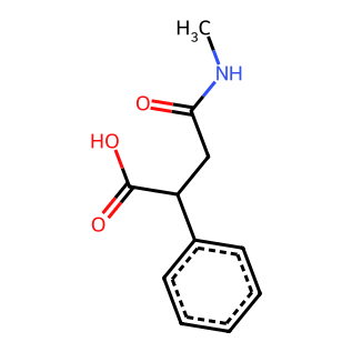 CNC(=O)CC(C(=O)O)c1ccccc1